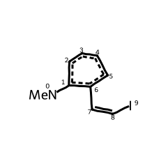 CNc1ccccc1/C=C\I